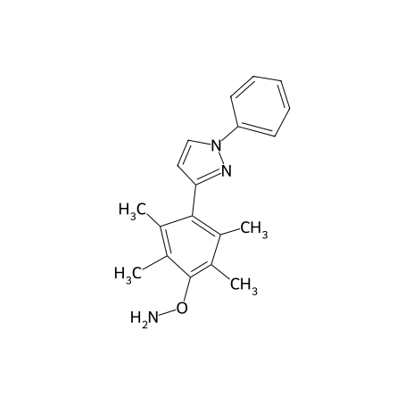 Cc1c(C)c(-c2ccn(-c3ccccc3)n2)c(C)c(C)c1ON